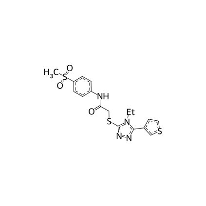 CCn1c(SCC(=O)Nc2ccc(S(C)(=O)=O)cc2)nnc1-c1ccsc1